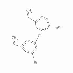 C=Cc1cc(CC)cc(CC)c1.C=Cc1ccc(CCC)cc1